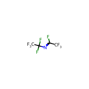 FC(=NC(F)(F)C(F)(F)F)C(F)(F)F